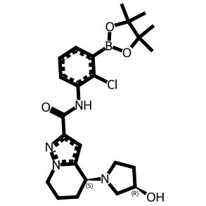 CC1(C)OB(c2cccc(NC(=O)c3cc4n(n3)CCC[C@@H]4N3CC[C@@H](O)C3)c2Cl)OC1(C)C